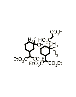 CCOC(=O)C(C(=O)OCC)C1CCCC(C)(C)C1.CCOC(=O)C(C(=O)OCC)C1CCCC(C)(C)C1.O=C(O)CC(=O)O